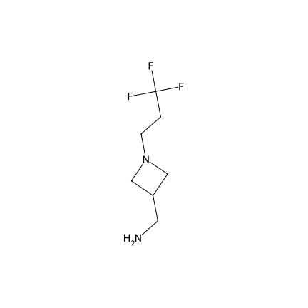 NCC1CN(CCC(F)(F)F)C1